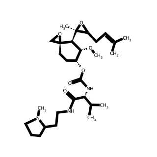 CO[C@@H]1[C@H](OC(=O)N[C@@H](C(=O)NCCC2CCCN2C)C(C)C)CC[C@]2(CO2)[C@H]1[C@@]1(C)OC1CC=C(C)C